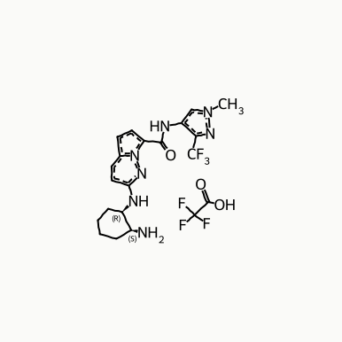 Cn1cc(NC(=O)c2ccc3ccc(N[C@@H]4CCCC[C@@H]4N)nn23)c(C(F)(F)F)n1.O=C(O)C(F)(F)F